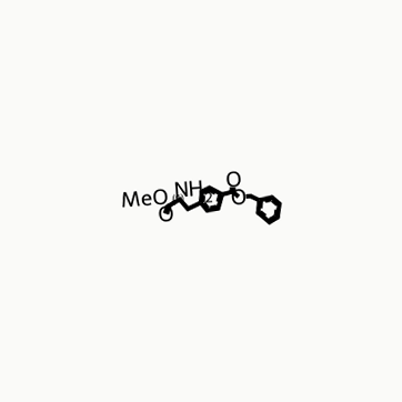 COC(=O)[C@@H](N)Cc1ccc(C(=O)OCc2ccccc2)cc1